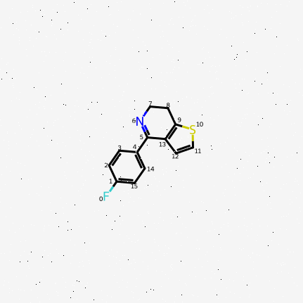 Fc1ccc(C2=NCCc3sccc32)cc1